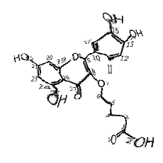 O=C(O)CCCCOc1c(-c2ccc(O)c(O)c2)oc2cc(O)cc(O)c2c1=O